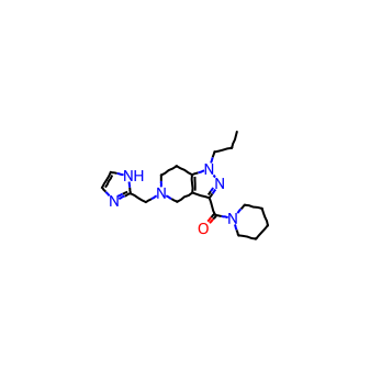 CCCn1nc(C(=O)N2CCCCC2)c2c1CCN(Cc1ncc[nH]1)C2